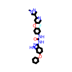 Cn1cc(-c2cc(Oc3ccc(NC(=O)Nc4n[nH]c5cc(Oc6ccccc6)ccc45)cc3F)ccn2)cn1